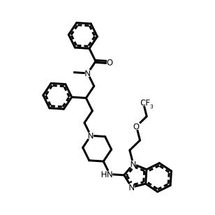 CN(CC(CCN1CCC(Nc2nc3ccccc3n2CCOCC(F)(F)F)CC1)c1ccccc1)C(=O)c1ccccc1